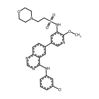 COc1ncc(-c2ccc3ncnc(Nc4cccc(Cl)c4)c3c2)cc1NS(=O)(=O)CCN1CCOCC1